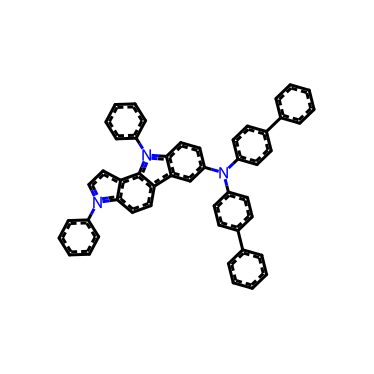 c1ccc(-c2ccc(N(c3ccc(-c4ccccc4)cc3)c3ccc4c(c3)c3ccc5c(ccn5-c5ccccc5)c3n4-c3ccccc3)cc2)cc1